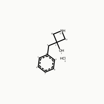 Cl.OC1(Cc2ccccc2)CNC1